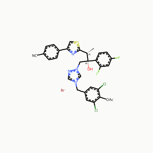 CC(=O)Oc1c(Cl)cc(C[n+]2cnn(C[C@](O)(c3ccc(F)cc3F)[C@@H](C)c3nc(-c4ccc(C#N)cc4)cs3)c2)cc1Cl.[Br-]